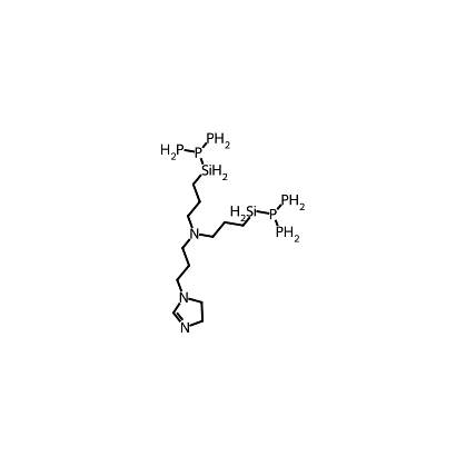 PP(P)[SiH2]CCCN(CCC[SiH2]P(P)P)CCCN1C=NCC1